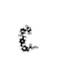 CC(C)C1COC(=O)N1c1ccnc(N[C@@H](C)c2ccc(CN3CCC4CN(C(=O)OC(C)(C)C)C4C3)cc2)n1